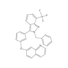 FC(F)(F)c1cccc2c(-c3cccc(Oc4ccc5cccnc5c4)c3)n(Cc3ccccc3)nc12